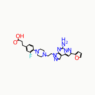 Nc1nc2c(cnn2CCN2CCN(c3ccc(CCC(=O)O)cc3F)CC2)c2cc(-c3ccco3)nn12